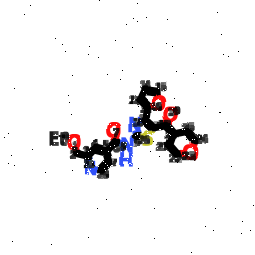 CCOCc1cc(C(=O)Nc2nc(-c3ccco3)c(C(=O)C3CCOCC3)s2)ccn1